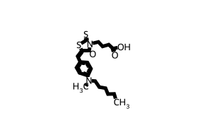 CCCCCCN(C)c1ccc(C=C2SC(=S)N(CCCC(=O)O)C2=O)cc1